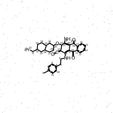 Cc1ccc(CCNC2=C3C(=O)c4ccccc4C(=O)C3=C(N)C(OC3CCC4CC(CC(C)C)CCC4C3)C2=C=O)cc1